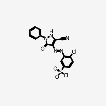 N#Cc1[nH]n(-c2ccccc2)c(=O)c1/N=N/c1cc(S(=O)(=O)Cl)ccc1Cl